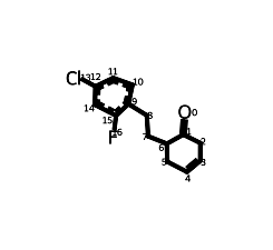 O=C1CC=CCC1CCc1ccc(Cl)cc1F